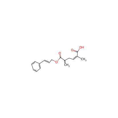 C=C(CC=C(C)C(=O)O)C(=O)OCC=Cc1ccccc1